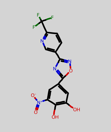 O=[N+]([O-])c1cc(-c2nc(-c3ccc(C(F)(F)F)nc3)no2)cc(O)c1O